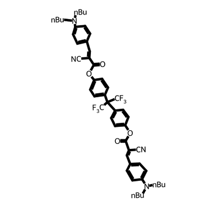 CCCCN(CCCC)c1ccc(/C=C(\C#N)C(=O)Oc2ccc(C(c3ccc(OC(=O)/C(C#N)=C/c4ccc(N(CCCC)CCCC)cc4)cc3)(C(F)(F)F)C(F)(F)F)cc2)cc1